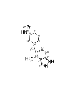 Cc1c(O[C@H]2CCC[C@@H](NC(C)C)C2)ccc2[nH]ncc12